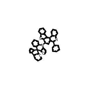 c1ccc(-c2nc3ccccc3c3c2cc(N2c4ccccc4C4(c5ccccc5-c5ccccc54)c4ccccc42)c2sc4ccccc4c23)cc1